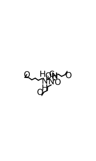 CN(CCC1CO1)C(=O)N(CCCC1CO1)C(O)NCCCCC1CO1